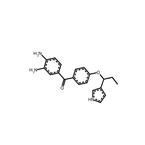 CCC(Oc1ccc(C(=O)c2ccc(N)c(N)c2)cc1)c1cc[nH]c1